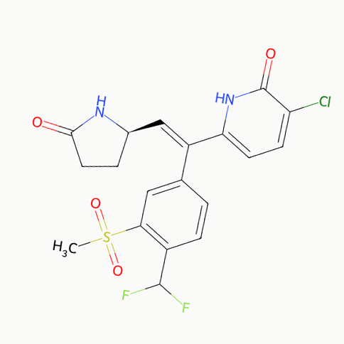 CS(=O)(=O)c1cc(/C(=C\[C@H]2CCC(=O)N2)c2ccc(Cl)c(=O)[nH]2)ccc1C(F)F